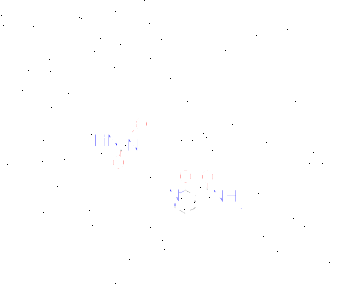 NC(=O)c1cccnc1OC1CC2(C1)CC(N1C(=O)NC(CCC3CCCCC3)C1=O)C2